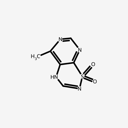 Cc1ncnc2c1NC=NS2(=O)=O